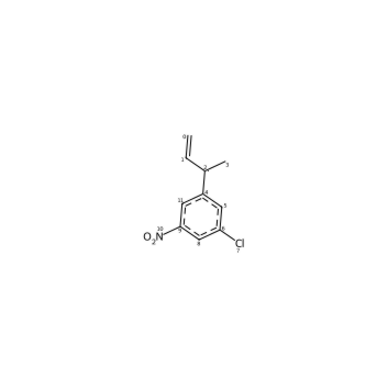 C=C[C](C)c1cc(Cl)cc([N+](=O)[O-])c1